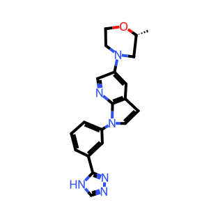 C[C@@H]1CN(c2cnc3c(ccn3-c3cccc(-c4nnc[nH]4)c3)c2)CCO1